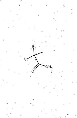 CCC(Cl)(I)C(N)=O